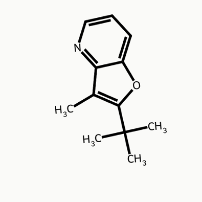 Cc1c(C(C)(C)C)oc2cccnc12